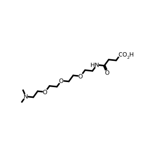 CN(C)CCOCCOCCOCCNC(=O)CCC(=O)O